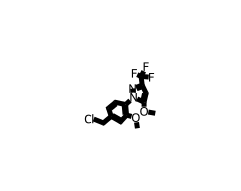 COc1cc(CCl)ccc1-n1nc(C(F)(F)F)cc1OC